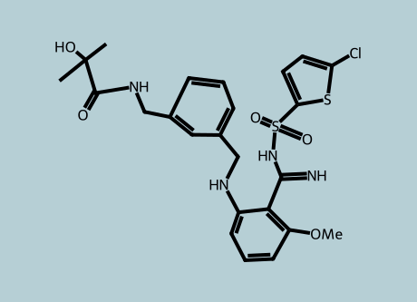 COc1cccc(NCc2cccc(CNC(=O)C(C)(C)O)c2)c1C(=N)NS(=O)(=O)c1ccc(Cl)s1